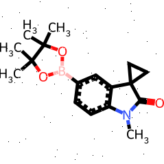 CN1C(=O)C2(CC2)c2cc(B3OC(C)(C)C(C)(C)O3)ccc21